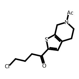 CC(=O)N1CCc2cc(C(=O)CCCCl)sc2C1